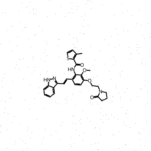 COc1c(OCCN2CCCC2=O)ccc(/C=C/c2n[nH]c3ccccc23)c1NC(=O)c1sccc1C